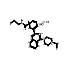 CCCNC(=O)C1(F)C=CC=C(c2cc3ccccc3c(N3CCN(CC)CC3)n2)C1.Cl.Cl